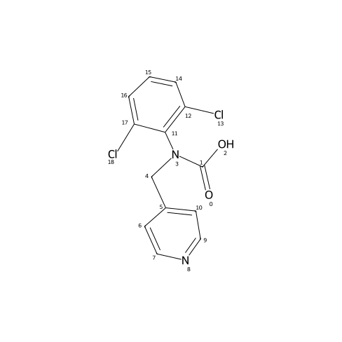 O=C(O)N(Cc1ccncc1)c1c(Cl)cccc1Cl